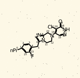 CCCc1ccc(Cc2cnc3n2CCN(c2cn[nH]c(=O)c2Cl)C3)c(F)c1